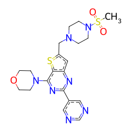 CS(=O)(=O)N1CCN(Cc2cc3nc(-c4cncnc4)nc(N4CCOCC4)c3s2)CC1